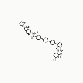 CN1CCC[C@@H]1c1cc2cnc(NC(=O)c3ccc(N4CCC(c5ccc(-c6cccc7c6CN(C6CCC(=O)NC6=O)C7=O)cc5)CC4)cc3F)cc2[nH]1